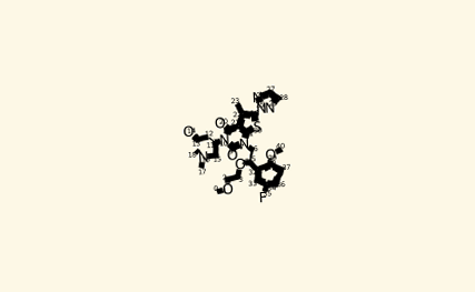 COCCO[C@@H](Cn1c(=O)n([C@@H](CC=O)CN(C)C)c(=O)c2c(C)c(-n3nccn3)sc21)c1cc(F)ccc1OC